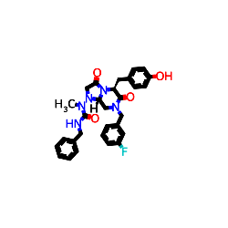 CN(C(=O)NCc1ccccc1)N1CC(=O)N2[C@@H](Cc3ccc(O)cc3)C(=O)N(Cc3cccc(F)c3)C[C@@H]21